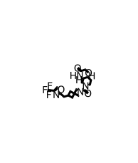 O=C1CO[C@@H]2CCN(C(=O)N3CC4(CC(Cc5nc(C(F)(F)F)co5)C4)C3)C[C@@H]2N1